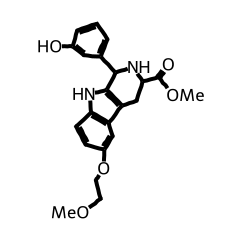 COCCOc1ccc2[nH]c3c(c2c1)CC(C(=O)OC)NC3c1cccc(O)c1